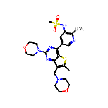 COc1ncc(-c2nc(N3CCOCC3)nc3c(CN4CCOCC4)c(C)sc23)cc1NS(C)(=O)=O